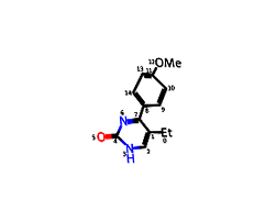 CCc1c[nH]c(=O)nc1-c1ccc(OC)cc1